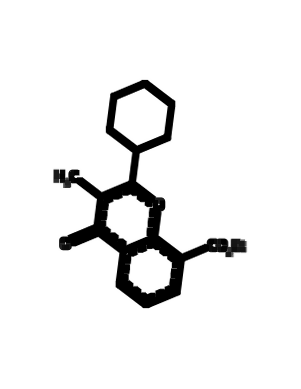 CCOC(=O)c1cccc2c(=O)c(C)c(C3CCCCC3)oc12